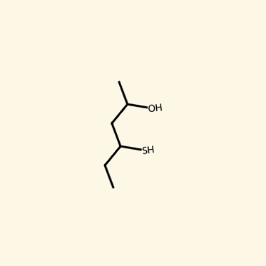 CCC(S)CC(C)O